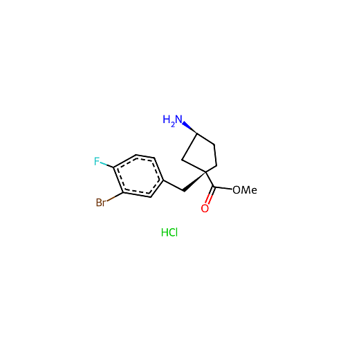 COC(=O)[C@@]1(Cc2ccc(F)c(Br)c2)CC[C@H](N)C1.Cl